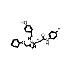 O=C(CSc1nnc(COc2ccccc2)n1N=Cc1ccc(O)cc1)Nc1ccc(F)cc1